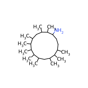 CC1CCC(N)C(C)C(C)CC(C)C(C)C(C)C(C)C(C)CC(C)C1C